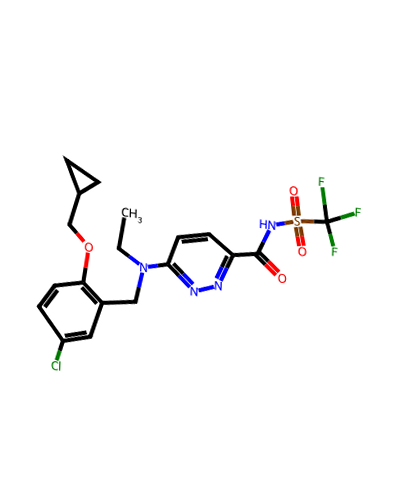 CCN(Cc1cc(Cl)ccc1OCC1CC1)c1ccc(C(=O)NS(=O)(=O)C(F)(F)F)nn1